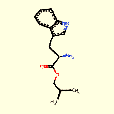 CC(C)COC(=O)[C@H](N)Cc1c[nH]c2ccccc12